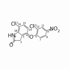 O=C1Cc2c(Oc3ccc([N+](=O)[O-])cc3Cl)ccc(Cl)c2N1